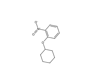 O=[N+]([O-])c1[c]cccc1OC1CCCCC1